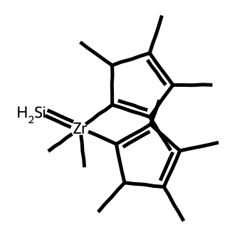 CC1=C(C)C(C)[C]([Zr]([CH3])([CH3])(=[SiH2])[C]2=C(C)C(C)=C(C)C2C)=C1C